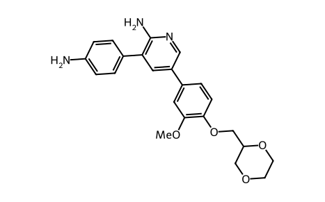 COc1cc(-c2cnc(N)c(-c3ccc(N)cc3)c2)ccc1OCC1COCCO1